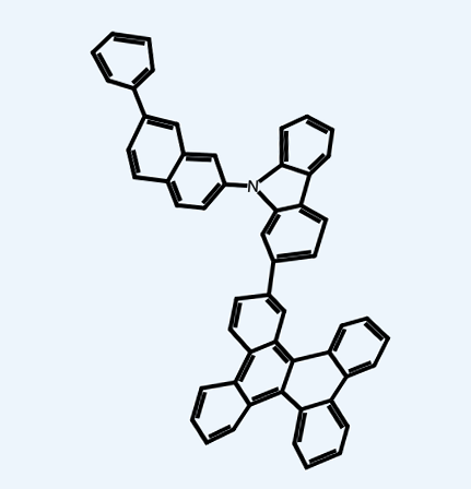 c1ccc(-c2ccc3ccc(-n4c5ccccc5c5ccc(-c6ccc7c8ccccc8c8c9ccccc9c9ccccc9c8c7c6)cc54)cc3c2)cc1